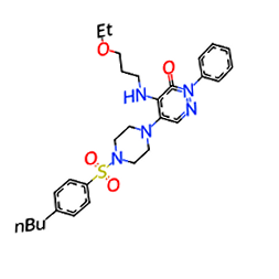 CCCCc1ccc(S(=O)(=O)N2CCN(c3cnn(-c4ccccc4)c(=O)c3NCCCOCC)CC2)cc1